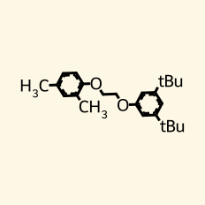 Cc1ccc(OCCOc2cc(C(C)(C)C)cc(C(C)(C)C)c2)c(C)c1